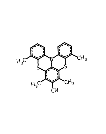 Cc1cccc2c1Sc1c(C)c(C#N)c(C)c3c1B2c1cccc(C)c1S3